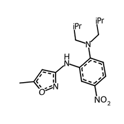 Cc1cc(Nc2cc([N+](=O)[O-])ccc2N(CC(C)C)CC(C)C)no1